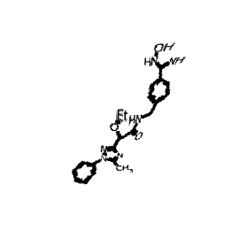 CCOC(C(=O)NCc1ccc(C(=N)NO)cc1)c1nc(C)n(-c2ccccc2)n1